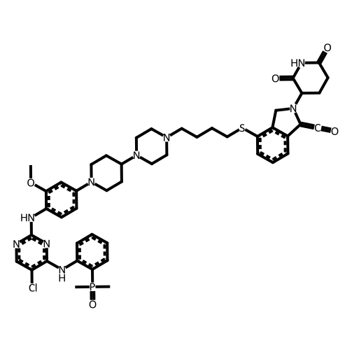 COc1cc(N2CCC(N3CCN(CCCCSc4cccc5c4CN(C4CCC(=O)NC4=O)C5=C=O)CC3)CC2)ccc1Nc1ncc(Cl)c(Nc2ccccc2P(C)(C)=O)n1